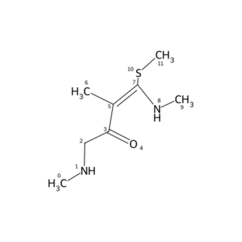 CNCC(=O)/C(C)=C(\NC)SC